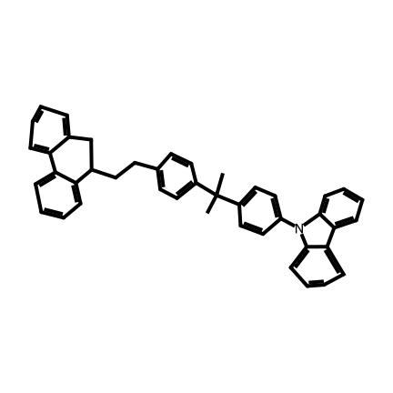 CC(C)(c1ccc(CCC2Cc3ccccc3-c3ccccc32)cc1)c1ccc(-n2c3ccccc3c3ccccc32)cc1